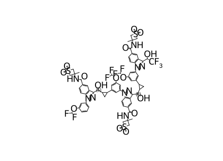 CC1(NC(=O)c2ccc3c(c2)c(C(O)C(F)(F)F)nn3-c2cc(OC(F)F)cc(C3CC3[C@@H](O)c3nn(-c4cc(OC(F)F)cc(C5CC5[C@H](O)c5nn(-c6cccc(OC(F)F)c6)c6ccc(C(=O)NC7(C)CS(=O)(=O)C7)cc56)c4)c4ccc(C(=O)NC5(C)CS(=O)(=O)C5)cc34)c2)CS(=O)(=O)C1